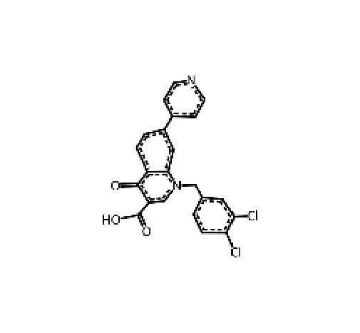 O=C(O)c1cn(Cc2ccc(Cl)c(Cl)c2)c2cc(-c3ccncc3)ccc2c1=O